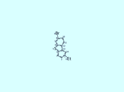 CCc1ccc2sc3cc(Br)ccc3c2c1